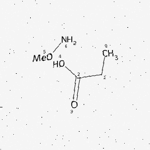 CCC(=O)O.CON